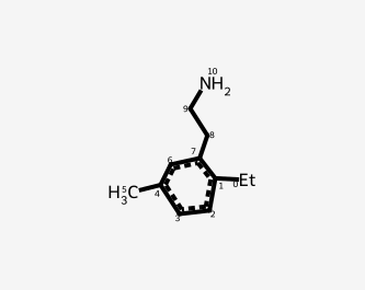 CCc1ccc(C)cc1CCN